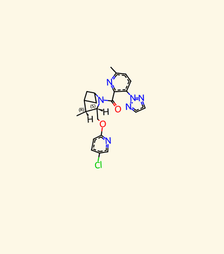 Cc1ccc(-n2nccn2)c(C(=O)N2C3CC(C3)[C@@H](C)[C@H]2COc2ccc(Cl)cn2)n1